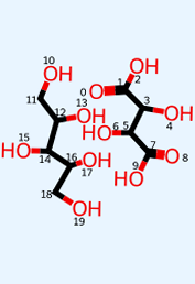 O=C(O)C(O)C(O)C(=O)O.OCC(O)C(O)C(O)CO